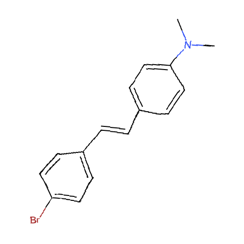 CN(C)c1ccc(C=Cc2ccc(Br)cc2)cc1